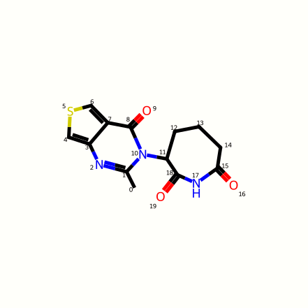 Cc1nc2cscc2c(=O)n1C1CCCC(=O)NC1=O